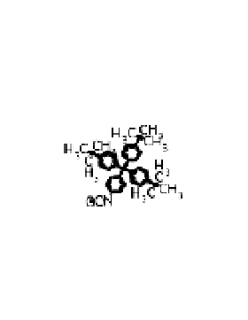 CC(C)(C)c1ccc(C(c2ccc(N=C=O)cc2)(c2ccc(C(C)(C)C)cc2)c2ccc(C(C)(C)C)cc2)cc1